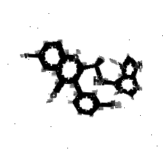 C[C@@H](Nc1ncnc2[nH]cnc12)c1oc2ccc(F)cc2c(=O)c1-c1cccc(F)c1